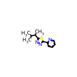 CC(C)C(C)c1nnc(-c2ccccn2)s1